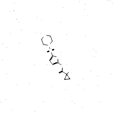 O=C(Nc1ccc(S(=O)(=O)N2CCOCC2)s1)C1(O)CC1